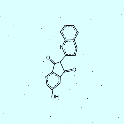 O=C1c2ccc(O)cc2C(=O)C1c1ccc2ccccc2n1